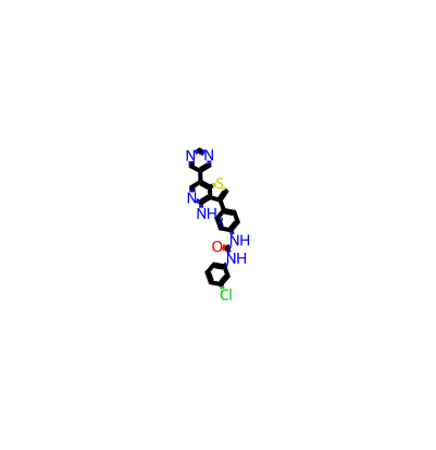 Nc1ncc(-c2cncnc2)c2scc(-c3ccc(NC(=O)Nc4cccc(Cl)c4)cc3)c12